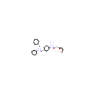 O=C(Cc1ccco1)Nc1ccc(C(=O)N2Cc3ccccc3Sc3ccccc32)cc1